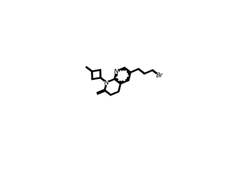 C=C1CCc2cc(CCCBr)cnc2N1C1CC(C)C1